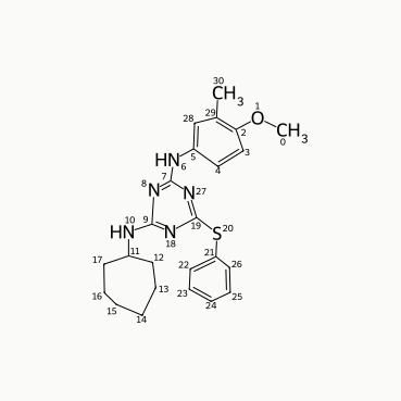 COc1ccc(Nc2nc(NC3CCCCCC3)nc(Sc3ccccc3)n2)cc1C